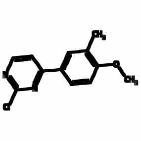 COc1ccc(-c2ccnc(Cl)n2)cc1C